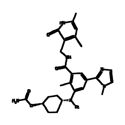 CCN(c1cc(-c2nccn2C)cc(C(=O)NCc2c(C)cc(C)[nH]c2=O)c1C)[C@H]1CC[C@H](OC(N)=O)CC1